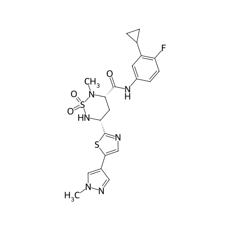 CN1[C@H](C(=O)Nc2ccc(F)c(C3CC3)c2)C[C@H](c2ncc(-c3cnn(C)c3)s2)NS1(=O)=O